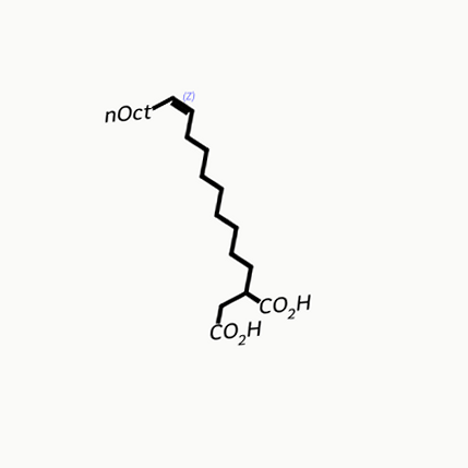 CCCCCCCC/C=C\CCCCCCCCC(CC(=O)O)C(=O)O